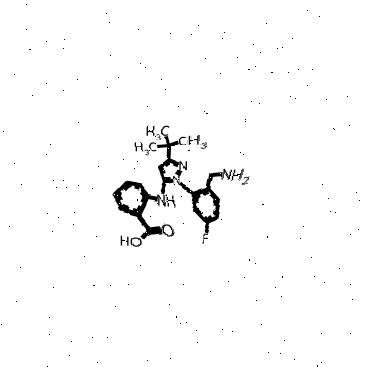 CC(C)(C)c1cc(Nc2ccccc2C(=O)O)n(-c2cc(F)ccc2CN)n1